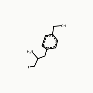 NC(CF)Cc1ccc(CO)cc1